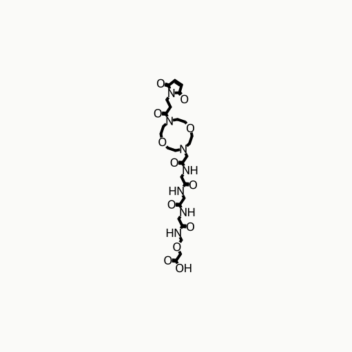 O=C(O)COCNC(=O)CNC(=O)CNC(=O)CNC(=O)CN1CCOCCN(C(=O)CCN2C(=O)C=CC2=O)CCOCC1